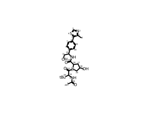 Cc1ncsc1-c1ccc(C(CO)NC(=O)C2CC(O)CN2C(=O)C(NC(=O)I)C(C)(C)C)cc1